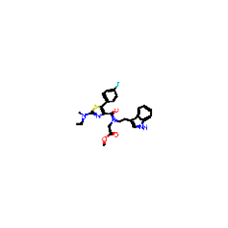 CCN(C)c1nc(C(=O)N(CCc2c[nH]c3ccccc23)CC(=O)OC)c(-c2ccc(F)cc2)s1